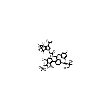 C[C@@H]1[C@@H]2c3c(C(F)F)nn(CC(=O)N[C@@H](Cc4cc(F)cc(F)c4)c4nc(C#CC(C)(O)CO)ccc4-c4ccc(Cl)c5c(NS(C)(=O)=O)nn(C)c45)c3C(F)(F)[C@H]12